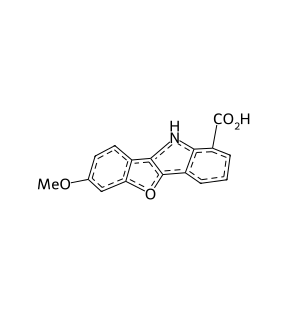 COc1ccc2c(c1)oc1c3cccc(C(=O)O)c3[nH]c21